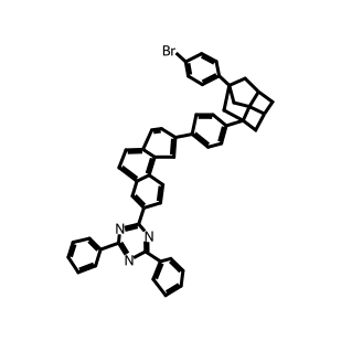 Brc1ccc(C23CC4CC5CC(c6ccc(-c7ccc8ccc9cc(-c%10nc(-c%11ccccc%11)nc(-c%11ccccc%11)n%10)ccc9c8c7)cc6)(C2)C45C3)cc1